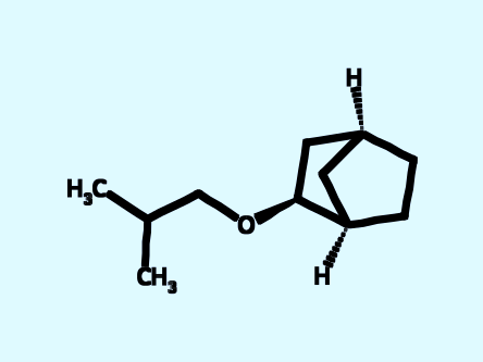 CC(C)CO[C@H]1C[C@H]2CC[C@@H]1C2